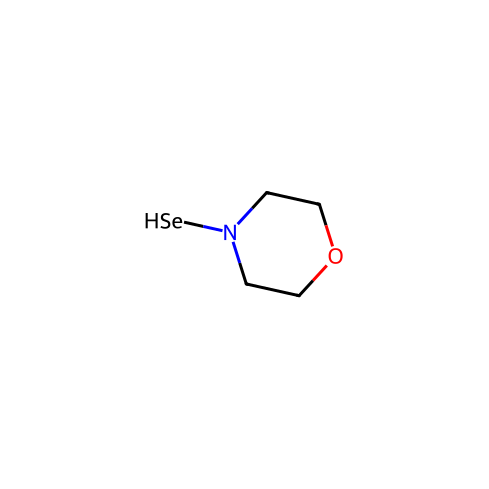 [SeH]N1CCOCC1